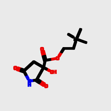 C[Si](C)(C)CCOC(=O)C1(O)CC(=O)NC1=O